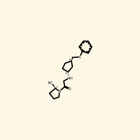 N#C[C@@H]1CCCN1C(=O)CN[C@@H]1CC[C@@H](CSc2ccccc2)C1